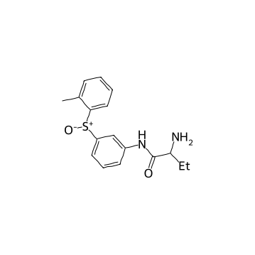 CCC(N)C(=O)Nc1cccc([S+]([O-])c2ccccc2C)c1